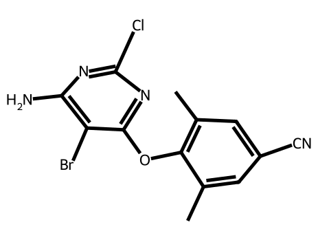 Cc1cc(C#N)cc(C)c1Oc1nc(Cl)nc(N)c1Br